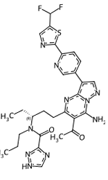 CCCN(C(=O)c1nc[nH]n1)[C@H](CC)CCc1nc2c(-c3ccc(-c4ncc(C(F)F)s4)nc3)cnn2c(N)c1C(C)=O